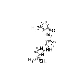 Cc1cccc(C(=O)NC[C@H]2CC[C@@H](Nc3nccc(N(C)C)n3)CC2)c1